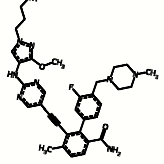 COc1nn(CCCO)cc1Nc1ncc(C#Cc2c(C)ccc(C(N)=O)c2-c2ccc(CN3CCN(C)CC3)c(F)c2)cn1